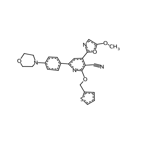 COc1cnc(-c2cc(-c3ccc(N4CCOCC4)cc3)nc(OCc3cccs3)c2C#N)o1